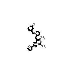 Nc1nc(N)n2nc(-c3ccco3)nc2c1CC1CCCN1Cc1ccnc(Cl)c1